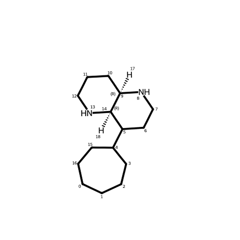 C1CCCC(C2CCN[C@@H]3CCCN[C@H]23)CC1